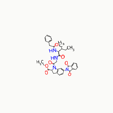 CCOC(=O)C1Cc2ccc(N3C(=O)c4ccccc4C3=O)cc2N1C(=O)CNC(=O)C(NC(=O)Cc1ccccc1)C(C)CC